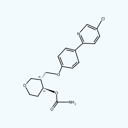 NC(=O)O[C@H]1CCOC[C@@H]1COc1ccc(-c2ccc(Cl)cn2)cc1